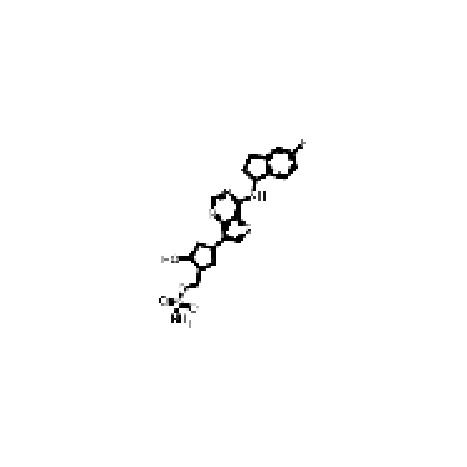 NS(=O)(=O)OCC1CC(c2csc3c(NC4CCc5cc(F)ccc54)ncnc23)CC1O